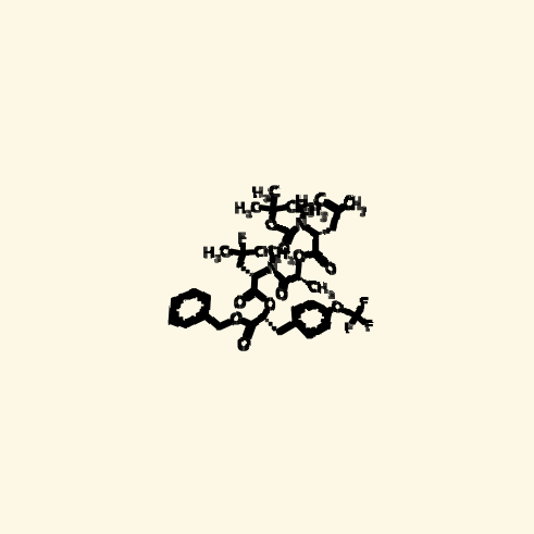 CC(C)C[C@H](C(=O)O[C@H](C)C(=O)N(C)[C@@H](CC(C)(C)F)C(=O)O[C@H](Cc1ccc(OC(F)(F)F)cc1)C(=O)OCc1ccccc1)N(C)C(=O)OC(C)(C)C